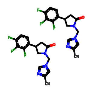 N#Cc1cn(CN2CC(c3ccc(F)c(F)c3F)CC2=O)cn1.N#Cc1cn(CN2CC(c3ccc(F)c(F)c3F)CC2=O)cn1